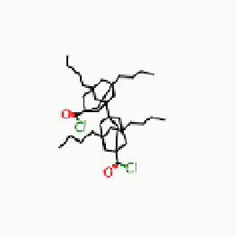 CCCCC12CC3(CCCC)CC(C(=O)Cl)(C1)CC(C14CC5(CCCC)CC(CCCC)(CC(C(=O)Cl)(C5)C1)C4)(C2)C3